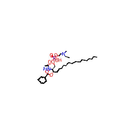 CCCCCCCCCCCCC/C=C/[C@@H](OC(=O)c1ccccc1)[C@H](COP(=O)(O)OCCN(C)CC)NC(C)=O